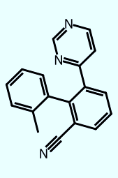 Cc1ccccc1-c1c(C#N)cccc1-c1ccncn1